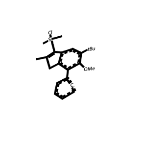 COc1c(C(C)(C)C)cc2c(c1-c1ccccc1)CC(C)=C2[Si](C)(C)Cl